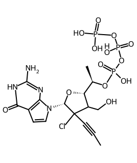 CC#CC1(Cl)C(CO)[C@@H]([C@@H](C)OP(=O)(O)OP(=O)(O)OP(=O)(O)O)O[C@H]1n1ccc2c(=O)[nH]c(N)nc21